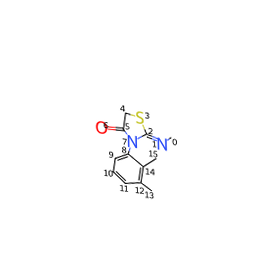 CN=C1SCC(=O)N1c1cccc(C)c1C